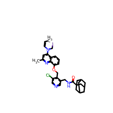 C/C=C\N(CI)c1cc(C)nc2c(OCc3c(Cl)cncc3CNC(=O)C34CC5CC(CC(C5)C3)C4)cccc12